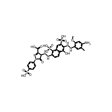 COc1cc(N)c(C)cc1NNc1c(S(=O)(=O)O)cc2c(S(=O)(=O)O)c(NNC3C(=O)N(c4ccc(S(=O)(=O)O)cc4)N=C3C(=O)O)ccc2c1O